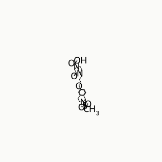 CS(=O)(=O)N1CCc2cc(OCCCN3CCN(C(=O)O)CC3=O)ccc2C1